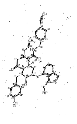 [3H]Sn1ccc2cccc(CN3C[C@H]4N(C(=O)CN(CC=C)N4C(=O)NCc4ccc(C#C)cc4)[C@@H](Cc4ccc(O)cc4)C3=O)c21